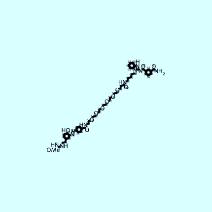 COC(=N)NCCc1ccc(O)c(/N=N/c2ccc(C(=O)NCCOCCOCCOCCOCCOCCOCCC(=O)NCCCCCn3/c(=N/C(=O)c4cccc(C(N)=O)c4)[nH]c4ccccc43)cc2)c1